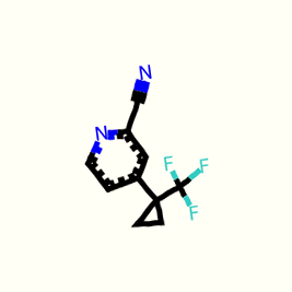 N#Cc1cc(C2(C(F)(F)F)CC2)ccn1